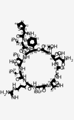 CC[C@H](C)C1NC(=O)[C@@H](CCCNC(=N)N)NC(=O)[C@H](CC(C)C)NC(=O)[C@H]([C@H](O)C(C)C)NC(=O)[C@@H](NC(=O)[C@H](CC(C)C)NC(=O)[C@H](N)c2cccs2)[C@@H](c2ccccc2)OC(=O)[C@H](CO)NC(=O)[C@H]([C@H](O)C(N)=O)NC(=O)CNC(=O)C([C@H](C)O)NC1=O